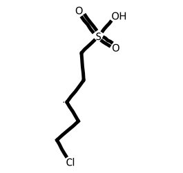 O=S(=O)(O)CC[CH]CCCl